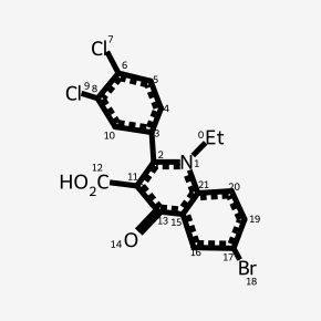 CCn1c(-c2ccc(Cl)c(Cl)c2)c(C(=O)O)c(=O)c2cc(Br)ccc21